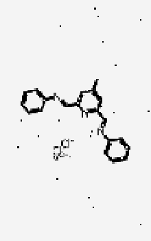 Cc1cc(C=Nc2ccccc2)nc(C=Nc2ccccc2)c1.[Cl-].[Cl-].[V+2]